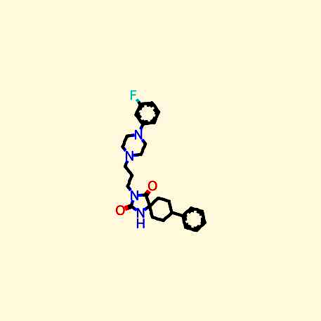 O=C1NC2(CCC(c3ccccc3)CC2)C(=O)N1CCCN1CCN(c2cccc(F)c2)CC1